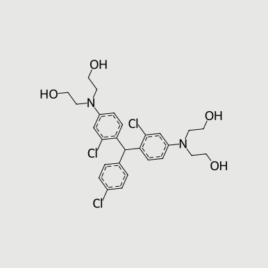 OCCN(CCO)c1ccc(C(c2ccc(Cl)cc2)c2ccc(N(CCO)CCO)cc2Cl)c(Cl)c1